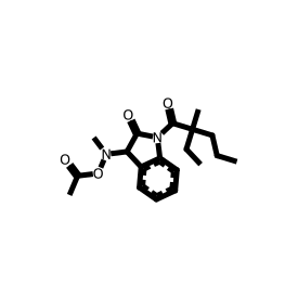 CCCC(C)(CC)C(=O)N1C(=O)C(N(C)OC(C)=O)c2ccccc21